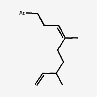 [CH2]C(=O)CCC=C(C)CCC(C)C=C